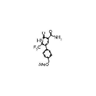 COCc1ccc(-c2cc(C(N)=O)c(=O)[nH]c2C(F)(F)F)cc1